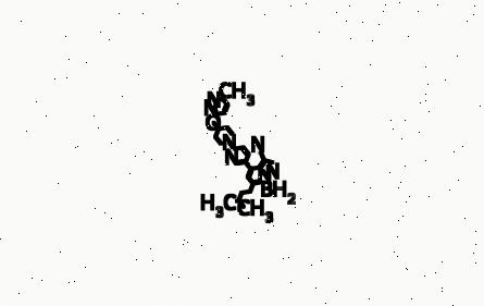 Bc1c(CCC(C)C)cc(-c2ccc(N3CCC(Oc4ccc(C)nn4)CC3)nc2)c2c(C#N)cnn12